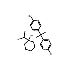 CC(C)(c1ccc(O)cc1)c1ccc(O)cc1.CCC(O)C1(O)CCCCC1